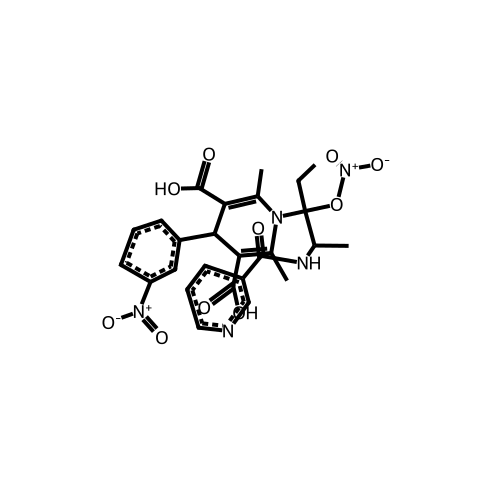 CCC(O[N+](=O)[O-])(C(C)NC(=O)c1cccnc1)N1C(C)=C(C(=O)O)C(c2cccc([N+](=O)[O-])c2)C(C(=O)O)=C1C